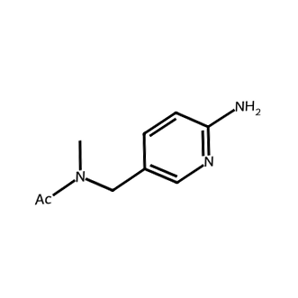 CC(=O)N(C)Cc1ccc(N)nc1